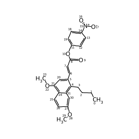 CCCCc1c(/C=C/C(=O)Oc2ccc([N+](=O)[O-])cc2)cc(OC)c2ccc(OC)cc12